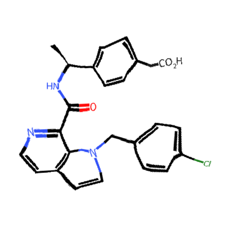 C[C@H](NC(=O)c1nccc2ccn(Cc3ccc(Cl)cc3)c12)c1ccc(C(=O)O)cc1